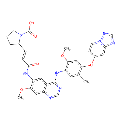 COc1cc2ncnc(Nc3cc(C)c(Oc4ccn5ncnc5c4)cc3OC)c2cc1NC(=O)C=CC1CCCN1C(=O)O